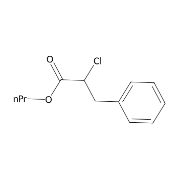 CCCOC(=O)C(Cl)Cc1ccccc1